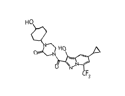 O=C(c1nn2c(C(F)(F)F)cc(C3CC3)cc2c1O)N1CCN(C2CCC(O)CC2)C(=O)C1